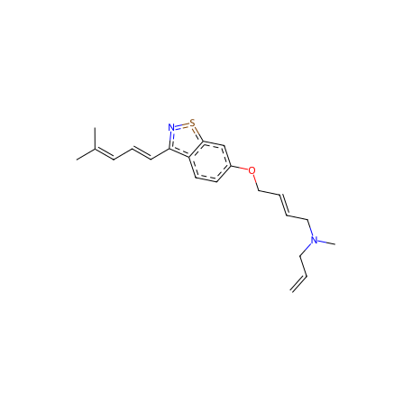 C=CCN(C)C/C=C/COc1ccc2c(/C=C/C=C(C)C)nsc2c1